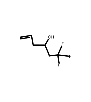 C=CCC(O)CC(F)(F)F